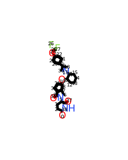 O=C1CCC(N2Cc3cc(O[C@H]4CCCC[C@H]4N4CC(c5ccc(OC(F)F)cc5)C4)ccc3C2=O)C(=O)N1